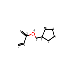 C=CC(=C)OCC1CCCC1